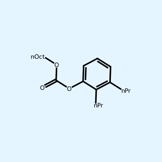 CCCCCCCCOC(=O)Oc1cccc(CCC)c1CCC